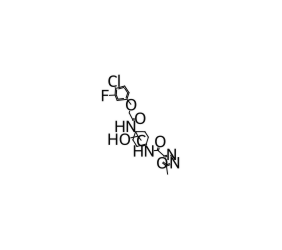 Cc1nnc(C(=O)NC23CCC(NC(=O)COc4ccc(Cl)c(F)c4)(CC2)C(O)C3)o1